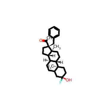 CC(=O)[C@@]1(Cc2ccccc2)CC[C@H]2[C@@H]3CCC4C[C@@](O)(F)CC[C@]4(C)[C@H]3CC[C@@]21C